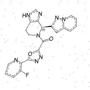 O=C(c1nnc(-c2ncccc2F)o1)N1CCc2[nH]cnc2[C@H]1c1cc2ccccn2n1